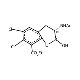 CCOC(=O)c1c(Cl)c(Cl)cc2c1OB(O)[C@@H](NC(C)=O)C2